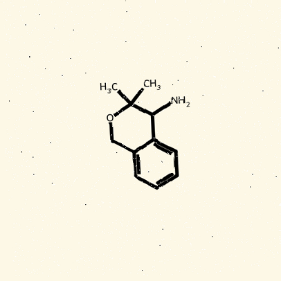 CC1(C)OCc2ccccc2C1N